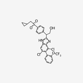 O=S(=O)(CC1CC1)c1ccc(C(CO)c2nc3c(Cl)c(-c4ccccc4OC(F)(F)F)c(Cl)cc3[nH]2)cc1